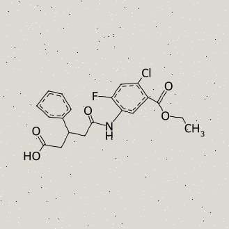 CCOC(=O)c1cc(NC(=O)CC(CC(=O)O)c2ccccc2)c(F)cc1Cl